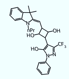 CCCN1C(=CC2C(O)C(c3c(C(F)(F)F)nn(-c4ccccc4)c3O)C2O)C(C)(C)c2ccccc21